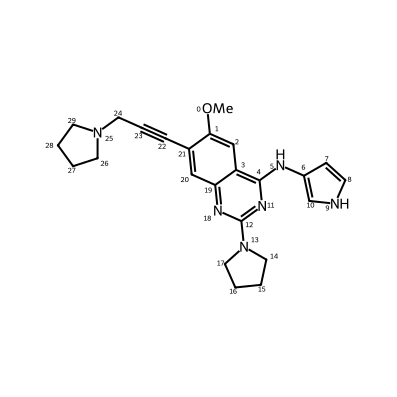 COc1cc2c(Nc3cc[nH]c3)nc(N3CCCC3)nc2cc1C#CCN1CCCC1